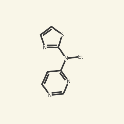 CCN(c1ccn[c]n1)c1nccs1